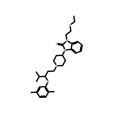 CCOCCn1c(=O)n(C2CCN(CCC(Oc3cc(C)ccc3C)C(C)C)CC2)c2ccccc21